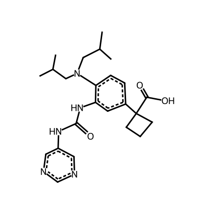 CC(C)CN(CC(C)C)c1ccc(C2(C(=O)O)CCC2)cc1NC(=O)Nc1cncnc1